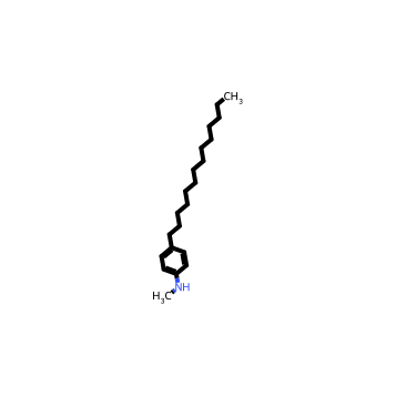 CCCCCCCCCCCCCCc1ccc(NC)cc1